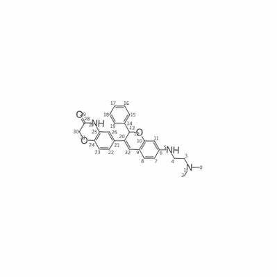 CN(C)CCNc1ccc2c(c1)OC(c1ccccc1)C(c1ccc3c(c1)NC(=O)CO3)=C2